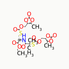 CCOC(=O)[C@H](CSC(=O)OCc1oc(=O)oc1C)NC(=O)C(C)(C)SC(=O)OCc1oc(=O)oc1C